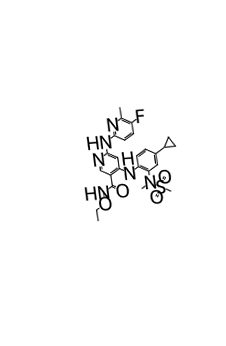 CCONC(=O)c1cnc(Nc2ccc(F)c(C)n2)cc1Nc1ccc(C2CC2)cc1N(C)S(C)(=O)=O